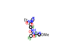 CCC(=O)N[C@@H](C(=O)N1CCN(C)CC1)[C@@H](C)c1ccc(NC(=O)[C@@H](NC(=O)C(F)(F)c2ccc(OC)nc2)C2CCC(F)(F)CC2)c(F)c1